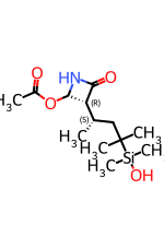 CC(=O)OC1NC(=O)[C@@H]1[C@@H](C)CC(C)(C)[Si](C)(C)O